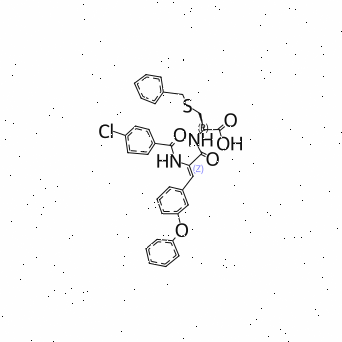 O=C(N[C@@H](CSCc1ccccc1)C(=O)O)/C(=C/c1cccc(Oc2ccccc2)c1)NC(=O)c1ccc(Cl)cc1